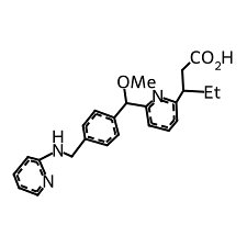 CCC(CC(=O)O)c1cccc(C(OC)c2ccc(CNc3ccccn3)cc2)n1